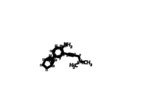 CN(C)CC#Cc1cc(N2C3CCC2CC3)ccc1N